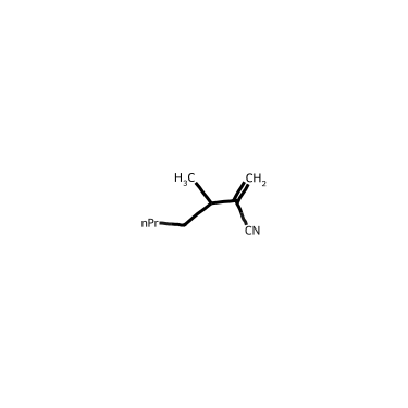 C=C(C#N)C(C)CCCC